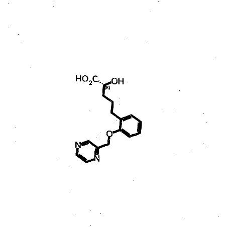 O=C(O)[C@H](O)CCCc1ccccc1OCc1cnccn1